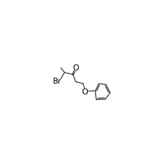 CC(Br)C(=O)CCOc1ccccc1